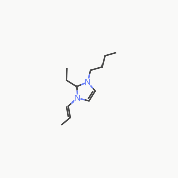 CC=CN1C=CN(CCCC)C1CC